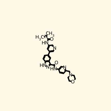 CN(C)C(=O)Nc1cncc(-c2ccc3[nH]nc(C(=O)Nc4ccc(CN5CCOCC5)nc4)c3c2)c1